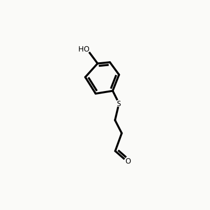 O=CCCSc1ccc(O)cc1